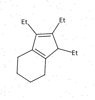 CCC1=C(CC)C(CC)C2=C1CCCC2